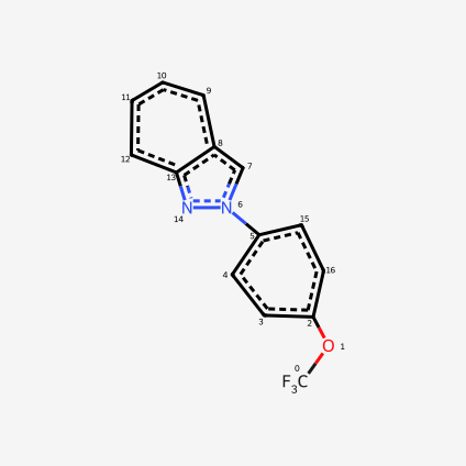 FC(F)(F)Oc1ccc(-n2cc3ccccc3n2)cc1